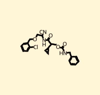 N#CC(COCc1ccccc1Cl)NC(=O)C(COC(=O)NCc1ccccc1)C1CC1